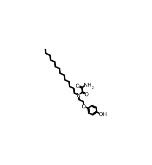 CCCCCCCCCCCCCCN(CCOc1ccc(O)cc1)C(=O)C(N)=O